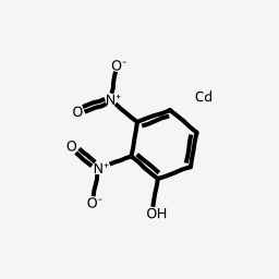 O=[N+]([O-])c1cccc(O)c1[N+](=O)[O-].[Cd]